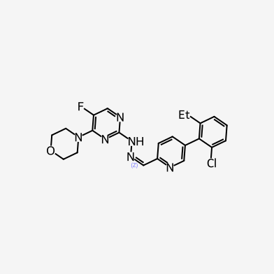 CCc1cccc(Cl)c1-c1ccc(/C=N\Nc2ncc(F)c(N3CCOCC3)n2)nc1